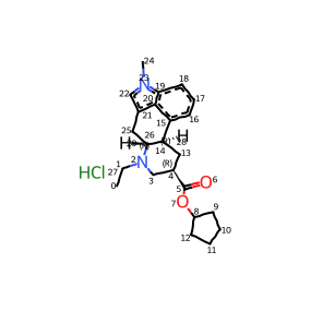 CCN1C[C@H](C(=O)OC2CCCC2)C[C@@H]2c3cccc4c3c(cn4C)C[C@H]21.Cl